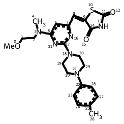 COCCN(C)c1cc(C=C2SC(=O)NC2=O)nc(N2CCN(c3ccc(C)cc3)CC2)n1